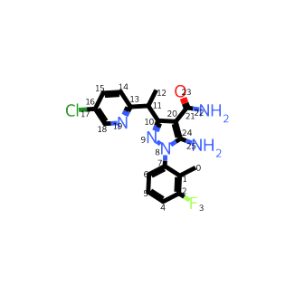 Cc1c(F)cccc1-n1nc(C(C)c2ccc(Cl)cn2)c(C(N)=O)c1N